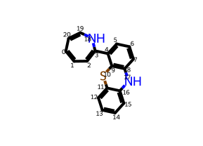 C1=CC=C(c2cccc3c2Sc2ccccc2N3)NC=C1